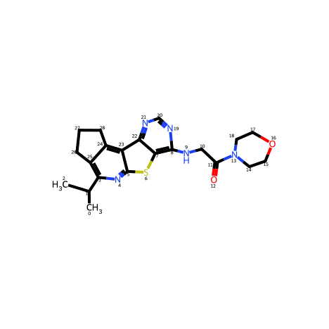 CC(C)c1nc2sc3c(NCC(=O)N4CCOCC4)ncnc3c2c2c1CCC2